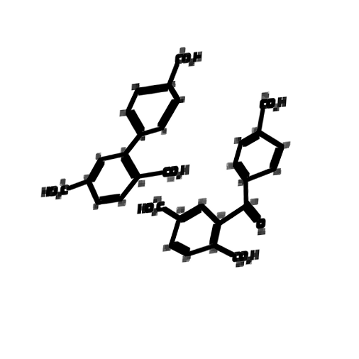 O=C(O)c1ccc(-c2cc(C(=O)O)ccc2C(=O)O)cc1.O=C(O)c1ccc(C(=O)c2cc(C(=O)O)ccc2C(=O)O)cc1